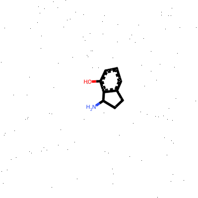 NC1CCc2cccc(O)c21